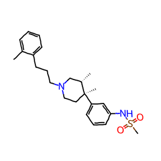 Cc1ccccc1CCCN1CC[C@](C)(c2cccc(NS(C)(=O)=O)c2)[C@@H](C)C1